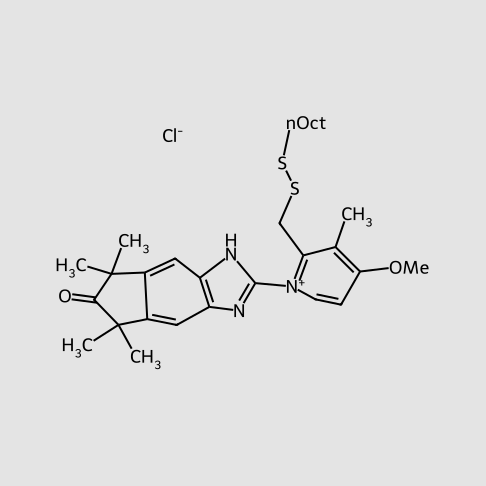 CCCCCCCCSSCc1c(C)c(OC)cc[n+]1-c1nc2cc3c(cc2[nH]1)C(C)(C)C(=O)C3(C)C.[Cl-]